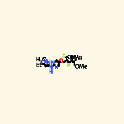 C=C(F)/C(COc1cnc(Nc2cc(CC)n(C)n2)nc1)=C(F)\C(=C/COC)OC